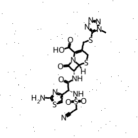 Cn1nnnc1SCC1=C(C(=O)O)N2C(=O)[C@@H](NC(=O)[C@H](NS(=O)(=O)CC#N)c3csc(N)n3)[C@H]2SC1